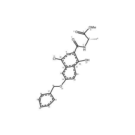 COC(=O)[C@H](C)NC(=O)c1nc(Cl)c2cc(OCc3ccccc3)ccc2c1O